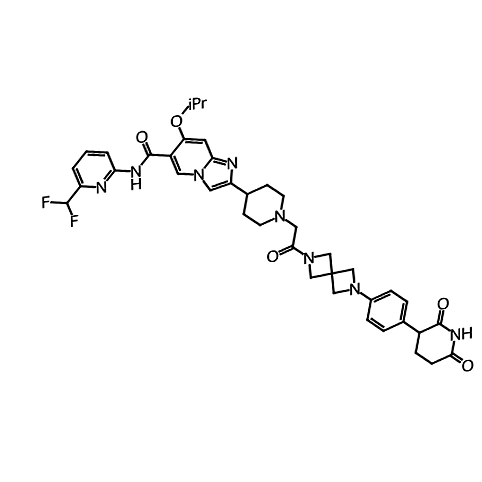 CC(C)Oc1cc2nc(C3CCN(CC(=O)N4CC5(C4)CN(c4ccc(C6CCC(=O)NC6=O)cc4)C5)CC3)cn2cc1C(=O)Nc1cccc(C(F)F)n1